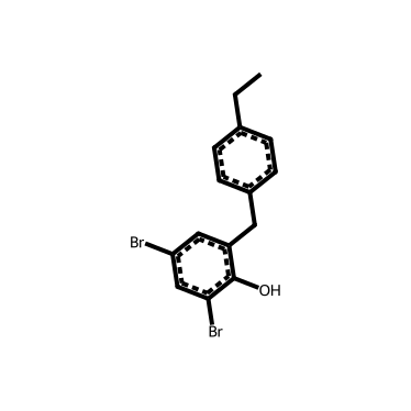 CCc1ccc(Cc2cc(Br)cc(Br)c2O)cc1